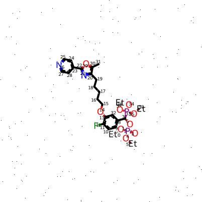 CCOP(=O)(OCC)OC(c1ccc(F)c(OCCCCCc2nc(-c3ccncc3)oc2C)c1)P(=O)(OCC)OCC